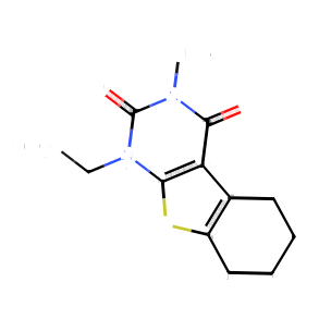 CCCCCCn1c(=O)c2c3c(sc2n(CC(=O)OCC)c1=O)CCCC3